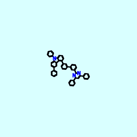 c1ccc(-c2ccc3c(c2)c2c(-c4cccc(-c5cccc(-c6nc(-c7ccccc7)cc(-c7ccccc7)n6)c5)c4)cccc2n3-c2ccccc2)cc1